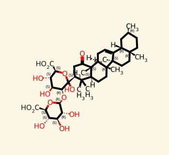 C[C@@H]1CC[C@]2(C)CC[C@]3(C)C(=CC[C@@H]4[C@@]5(C)C(=O)C[C@H](C6(O)O[C@H](C(=O)O)[C@@H](O)[C@H](O)[C@H]6O[C@@H]6O[C@H](C(=O)O)[C@@H](O)[C@H](O)[C@H]6O)C(C)(C)[C@@H]5CC[C@]43C)[C@@H]2C1